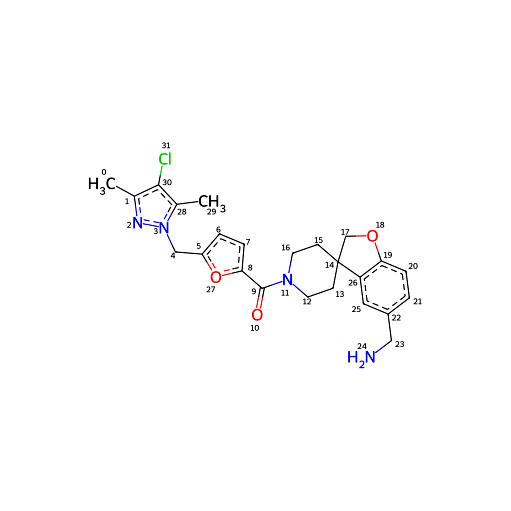 Cc1nn(Cc2ccc(C(=O)N3CCC4(CC3)COc3ccc(CN)cc34)o2)c(C)c1Cl